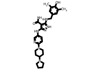 Cc1cc(CNc2[nH]nc(Nc3ccc(N4CCC(N5CCCC5)CC4)nc3)c2C(N)=O)cc(C)c1O